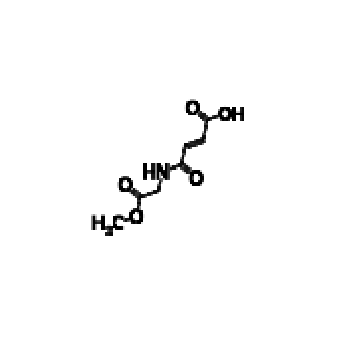 COC(=O)CNC(=O)/C=C/C(=O)O